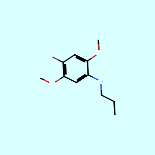 CCCNc1cc(OC)c(Br)cc1OC